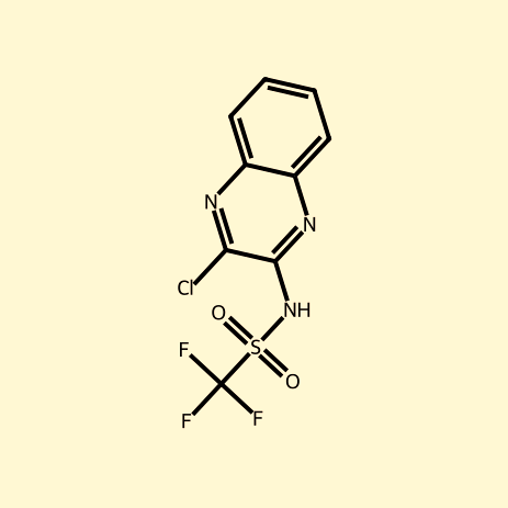 O=S(=O)(Nc1nc2ccccc2nc1Cl)C(F)(F)F